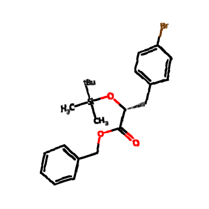 CC(C)(C)[Si](C)(C)O[C@H](Cc1ccc(Br)cc1)C(=O)OCc1ccccc1